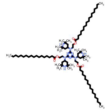 CCCCCCCCCCCCCCCCCC(=O)OCCN(c1nc(N(CCOC(=O)CCCCCCCCCCCCCCCCC)C2CC(C)(C)NC(C)(C)C2)nc(N(CCOC(=O)CCCCCCCCCCCCCCCCC)C2CC(C)(C)NC(C)(C)C2)n1)C1CC(C)(C)NC(C)(C)C1